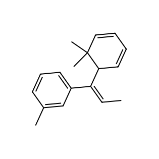 CC=C(c1cccc(C)c1)C1C=CC=CC1(C)C